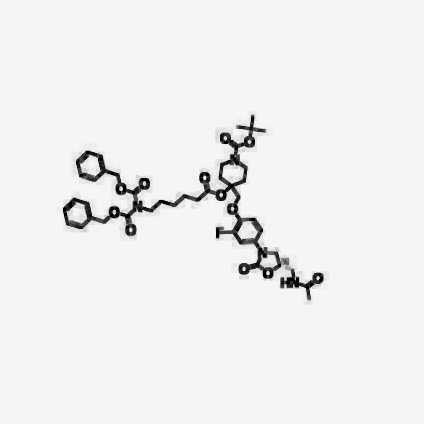 CC(=O)NC[C@H]1CN(c2ccc(OCC3(OC(=O)CCCCCN(C(=O)OCc4ccccc4)C(=O)OCc4ccccc4)CCN(C(=O)OC(C)(C)C)CC3)c(F)c2)C(=O)O1